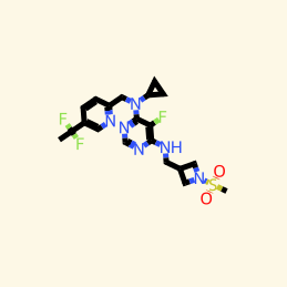 CC(F)(F)c1ccc(CN(c2ncnc(NCC3CN(S(C)(=O)=O)C3)c2F)C2CC2)nc1